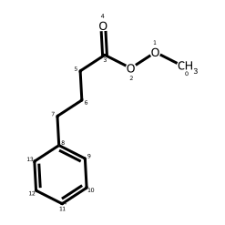 COOC(=O)CCCc1cc[c]cc1